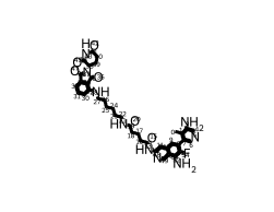 Cc1c(N)cncc1-c1cc2cc(NC(=O)CCCC(=O)NCCCCCCNc3cccc4c3C(=O)N(C3CCC(=O)NC3=O)C4=O)ncc2c(N)c1F